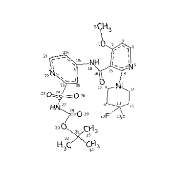 COc1ccnc(N2CCC(F)(F)CC2)c1C(=O)Nc1ccnc(S(=O)(=O)NC(=O)OC(C)(C)C)c1